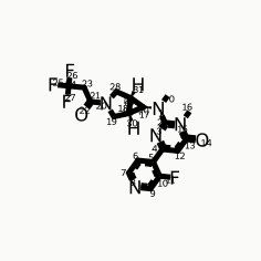 CN(c1nc(-c2ccncc2F)cc(=O)n1C)[C@@H]1[C@@H]2CN(C(=O)CC(F)(F)F)C[C@@H]21